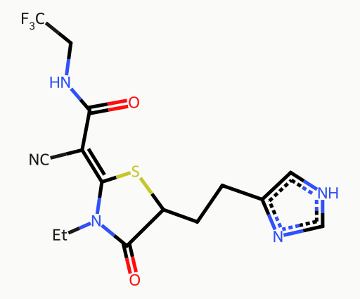 CCN1C(=O)C(CCc2c[nH]cn2)S/C1=C(/C#N)C(=O)NCC(F)(F)F